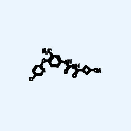 Cc1cc(NC(=O)NC(=O)C2CC(O)C2)ccc1Oc1ccc(Cl)cn1